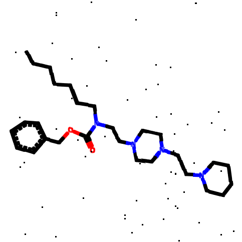 CCCCCCCN(CCN1CCN(CCN2CCCCC2)CC1)C(=O)OCc1ccccc1